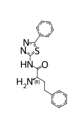 N[C@H](CCc1ccccc1)C(=O)Nc1nnc(-c2ccccc2)s1